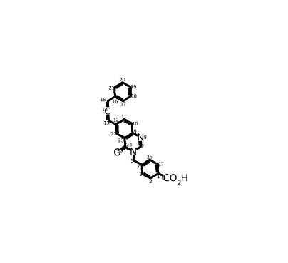 O=C(O)c1ccc(Cn2cnc3ccc(C=C=Cc4ccccc4)cc3c2=O)cc1